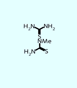 CNC(N)=S.NC(N)=S